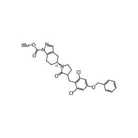 CC(C)(C)OC(=O)n1ncc2c1CC[C@H](N1CCC(Cc3c(Cl)cc(OCc4ccccc4)cc3Cl)C1=O)C2